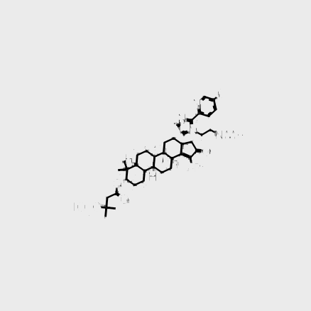 CNCCn1c(-c2ccc(Cl)cn2)nnc1[C@@]12CC[C@]3(C)[C@H](CC[C@@H]4[C@@]5(C)CC[C@H](OC(=O)CC(C)(C)C(=O)O)C(C)(C)[C@@H]5CC[C@]43C)C1=C(C(C)C)C(=O)C2